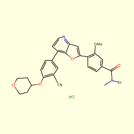 CCN(C)C(=O)c1ccc(-c2cc3nccc(-c4ccc(OC5CCOCC5)c(C#N)c4)c3o2)c(OC)c1.Cl